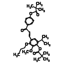 CCCOc1c(C=CC(=O)c2ccc(OC(=O)C(C)(C)C)cc2)cc(C(C)C)c(OC(=O)C(C)(C)C)c1OC